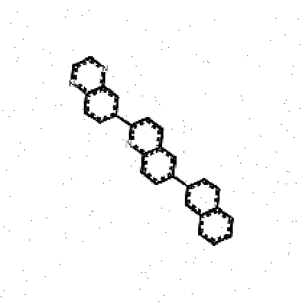 c1ccc2cc(-c3ccc4nc(-c5ccc6nccnc6c5)ccc4c3)ccc2c1